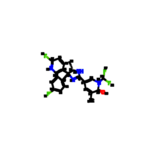 CCc1cc(C2=N[C@](c3ccc(F)cc3)(c3ccc(F)nc3)[C@H](C)N2)cn(C(F)F)c1=O